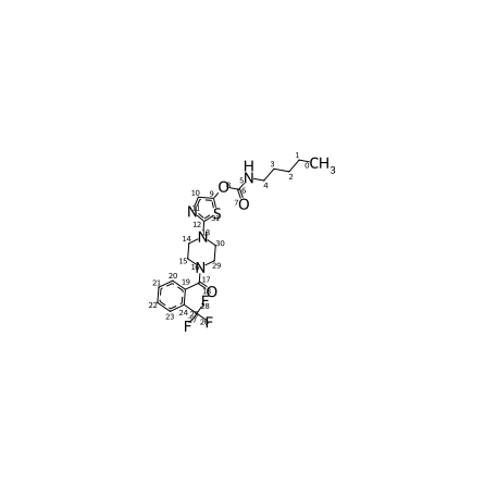 CCCCCNC(=O)Oc1cnc(N2CCN(C(=O)c3ccccc3C(F)(F)F)CC2)s1